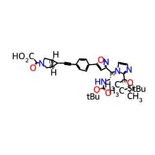 C[C@H](O[Si](C)(C)C(C)(C)C)c1nccn1[C@H](CNC(=O)OC(C)(C)C)c1cc(-c2ccc(C#CC3[C@H]4CN(C(=O)C(=O)O)C[C@@H]34)cc2)on1